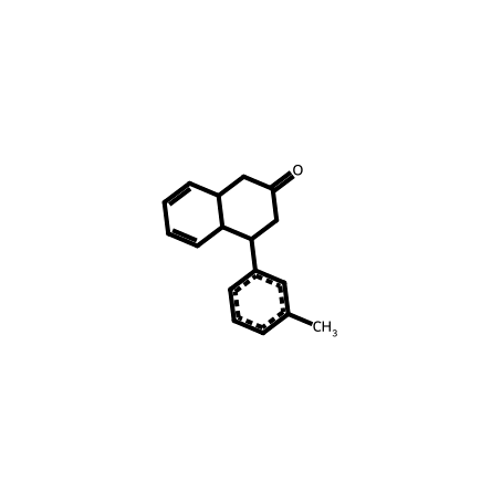 Cc1cccc(C2CC(=O)CC3C=CC=CC32)c1